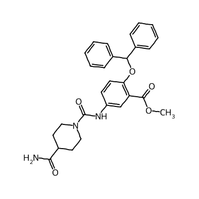 COC(=O)c1cc(NC(=O)N2CCC(C(N)=O)CC2)ccc1OC(c1ccccc1)c1ccccc1